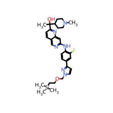 CN1CCC(C(C)(O)c2ccc3cnc(Nc4ccc(-c5ccn(COCC[Si](C)(C)C)n5)cc4F)cc3n2)CC1